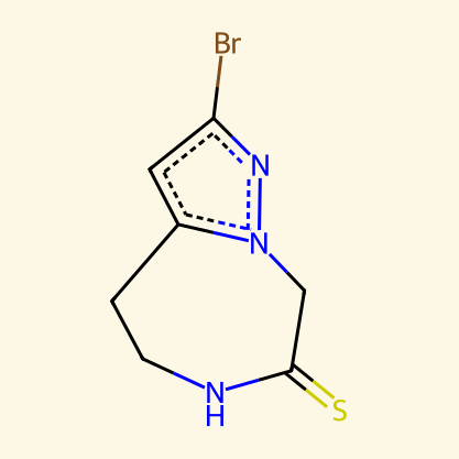 S=C1Cn2nc(Br)cc2CCN1